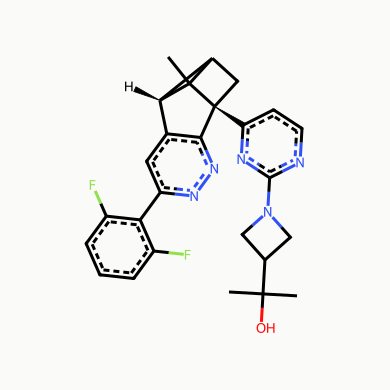 CC(C)(O)C1CN(c2nccc([C@@]34CC5[C@@H](c6cc(-c7c(F)cccc7F)nnc63)C54C)n2)C1